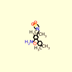 CC1(C)CC=C(c2cc(C(C)(C)CN3CCS(=O)(=O)CC3)ccc2C(N)=O)CC1